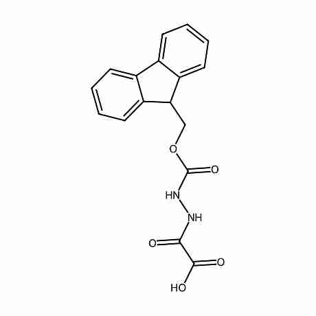 O=C(NNC(=O)C(=O)O)OCC1c2ccccc2-c2ccccc21